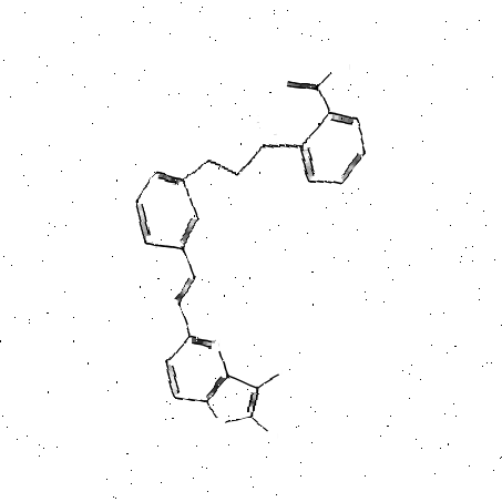 O=C(O)c1ccccc1[C@@H](O)CCc1cccc(C=Cc2ccc3sc(Cl)c(Cl)c3n2)c1